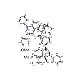 COc1ccc(N(/C=C(/c2ccccc2)c2ccc(C)cc2)c2ccc(C3(c4ccc(N(/C=C(/c5ccccc5)c5ccc(C)cc5)c5ccc(OC)cc5)cc4)CCCC3)cc2)cc1